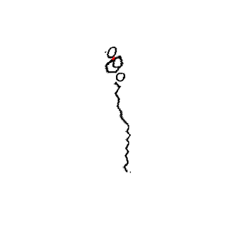 [CH2]CCCCCCCCCCCCCCCCCOC1CC2CCC1CC2[O]